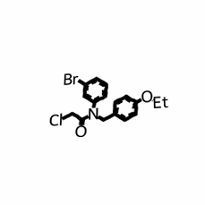 CCOc1ccc(CN(C(=O)CCl)c2cccc(Br)c2)cc1